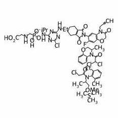 C#CCN1C(=O)COc2cc(F)c(N3C(=O)C4=C(CCCC4)C3=O)cc21.CC1COc2ccccc2N1C(=O)C(Cl)Cl.CCNc1nc(Cl)nc(NC(C)C)n1.CCc1cccc(C)c1N(C(=O)CCl)C(C)COC.C[S+](C)C.O=C(O)CNCP(=O)([O-])O